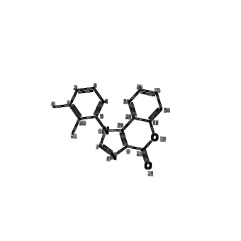 Cc1cccc(-n2cnc3c(=O)oc4ccccc4c32)c1C